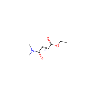 CCOC(=O)/C=C/C(=O)N(C)C